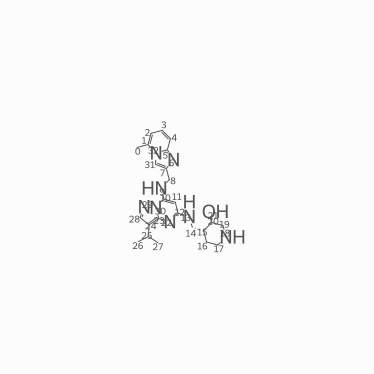 Cc1cccc2nc(CNc3cc(NC[C@H]4CCNC[C@@H]4O)nc4c(C(C)C)cnn34)cn12